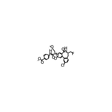 COCCC(C(=O)Nc1ccc(C(=O)OC)cc1)n1cc2c(cc1=O)-c1cc(Cl)ccc1CC(CF)NC2=O